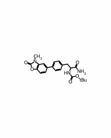 Cn1c(=O)oc2ccc(-c3ccc(CC(NC(=O)OC(C)(C)C)C(N)=O)cc3)cc21